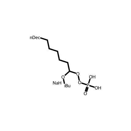 CCCCCCCCCCCCCCCC(OOP(=O)(O)O)OC(C)CC.[NaH]